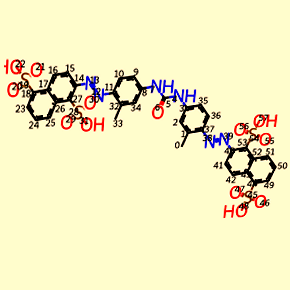 Cc1cc(NC(=O)Nc2ccc(N=Nc3ccc4c(S(=O)(=O)O)cccc4c3S(=O)(=O)O)c(C)c2)ccc1N=Nc1ccc2c(S(=O)(=O)O)cccc2c1S(=O)(=O)O